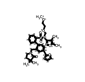 COCCOCN(c1noc(C)c1C)S(=O)(=O)c1ccccc1-c1ccc(-c2ncco2)cc1CN1CCC(C)(C)C1=O